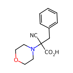 N#CC(Cc1ccccc1)(C(=O)O)N1CCOCC1